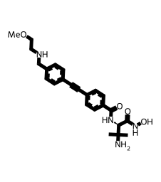 COCCNCc1ccc(C#Cc2ccc(C(=O)N[C@H](C(=O)NO)C(C)(C)N)cc2)cc1